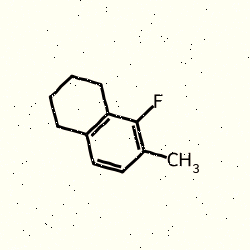 Cc1ccc2c(c1F)CCCC2